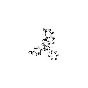 O=C(Nc1ccc(Cl)cn1)C(CCC1CCCCC1)n1cnc2ccc(F)cc2c1=O